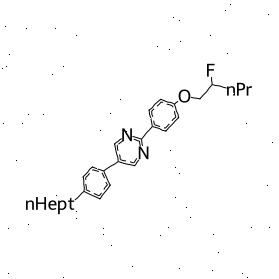 CCCCCCCc1ccc(-c2cnc(-c3ccc(OCC(F)CCC)cc3)nc2)cc1